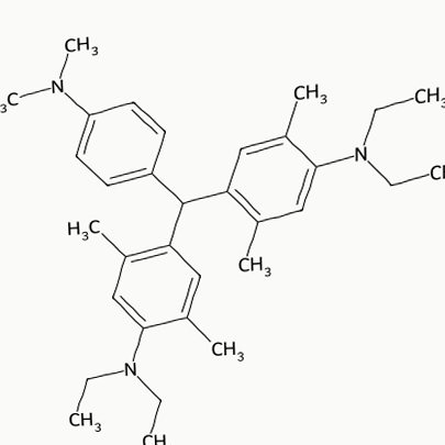 CCN(CC)c1cc(C)c(C(c2ccc(N(C)C)cc2)c2cc(C)c(N(CC)CC)cc2C)cc1C